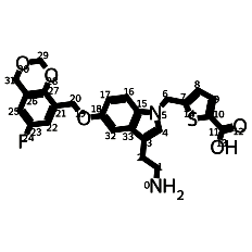 NCCc1cn(Cc2ccc(C(=O)O)s2)c2ccc(OCc3cc(F)cc4c3OCOC4)cc12